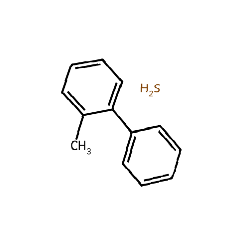 Cc1ccccc1-c1ccccc1.S